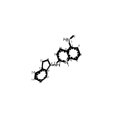 CNc1cccc2nc(N[C@@H]3CCc4ccccc43)ccc12